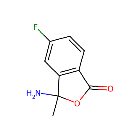 CC1(N)OC(=O)c2ccc(F)cc21